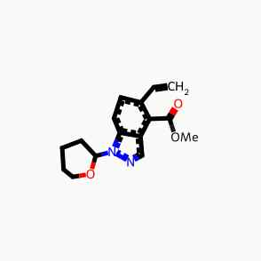 C=Cc1ccc2c(cnn2C2CCCCO2)c1C(=O)OC